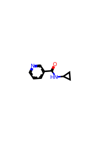 O=C(NC1CC1)c1[c]nccc1